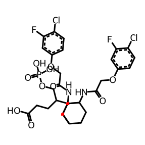 O=C(O)CCC(COP(=O)(O)O)C1(NC(=O)COc2ccc(Cl)c(F)c2)CC2CCC1(NC(=O)COc1ccc(Cl)c(F)c1)CC2